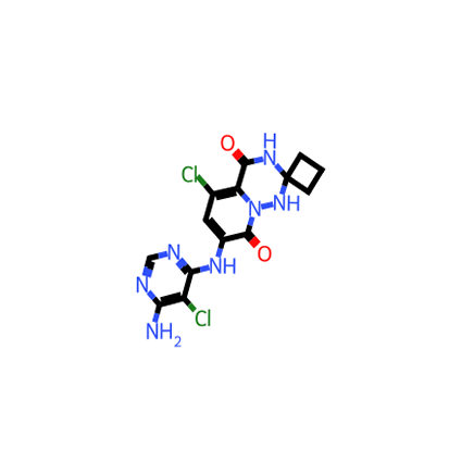 Nc1ncnc(Nc2cc(Cl)c3n(c2=O)NC2(CCC2)NC3=O)c1Cl